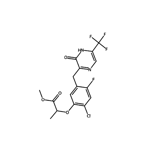 COC(=O)C(C)Oc1cc(Cc2ncc(C(F)(F)F)[nH]c2=O)c(F)cc1Cl